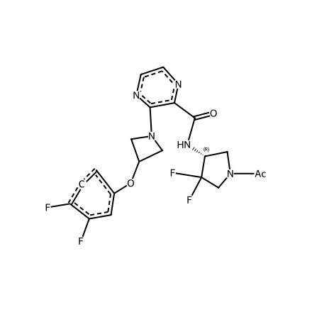 CC(=O)N1C[C@@H](NC(=O)c2nccnc2N2CC(Oc3ccc(F)c(F)c3)C2)C(F)(F)C1